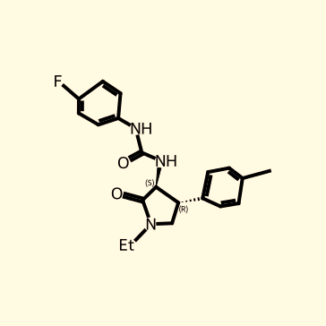 CCN1C[C@@H](c2ccc(C)cc2)[C@H](NC(=O)Nc2ccc(F)cc2)C1=O